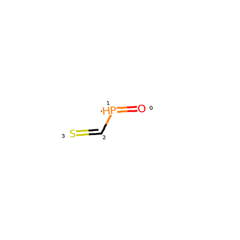 O=[PH]C=S